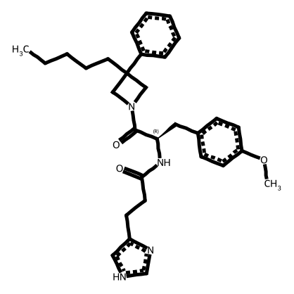 CCCCCC1(c2ccccc2)CN(C(=O)[C@@H](Cc2ccc(OC)cc2)NC(=O)CCc2c[nH]cn2)C1